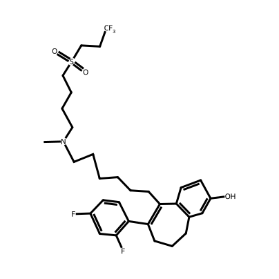 CN(CCCCCCC1=C(c2ccc(F)cc2F)CCCc2cc(O)ccc21)CCCCS(=O)(=O)CCC(F)(F)F